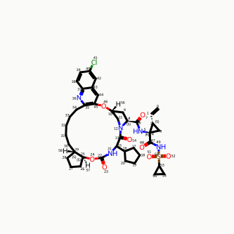 C=C[C@@H]1C[C@]1(NC(=O)[C@@H]1C[C@@H]2CN1C(=O)C(C1CCCC1)NC(=O)O[C@H]1CCC[C@@H]1CCCCCc1nc3ccc(Cl)cc3cc1O2)C(=O)NS(=O)(=O)C1CC1